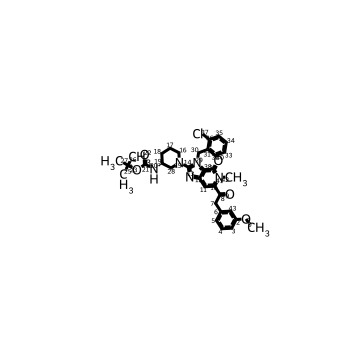 COc1cccc(CC(=O)c2cc3nc(N4CCC[C@@H](NC(=O)OC(C)(C)C)C4)n(Cc4ccccc4Cl)c3c(=O)n2C)c1